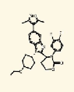 CCO[C@H]1CC[C@H](n2c(C3CCOC(=O)N3c3ccc(Cl)c(F)c3)nc3cc(-c4c(C)noc4C)ccc32)CC1